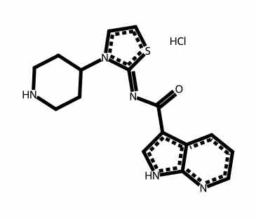 Cl.O=C(N=c1sccn1C1CCNCC1)c1c[nH]c2ncccc12